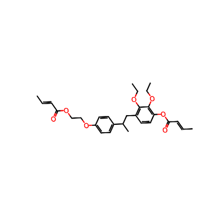 CC=CC(=O)OCCOc1ccc(C(C)Cc2ccc(OC(=O)C=CC)c(OCC)c2OCC)cc1